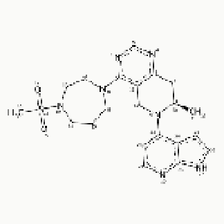 C[C@@H]1Cc2ncnc(N3CCCN(S(C)(=O)=O)CC3)c2CN1c1ccnc2[nH]ccc12